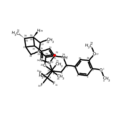 COc1ccc(C2CC(C(F)(F)F)n3nc(C4C5CN(C(=O)OC(C)(C)C)C(C)[C@H]4[C@H]5C)cc3N2)cc1OC